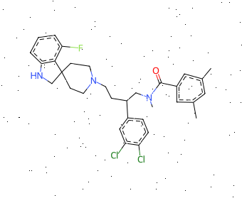 Cc1cc(C)cc(C(=O)N(C)CC(CCN2CCC3(CC2)CNc2cccc(F)c23)c2ccc(Cl)c(Cl)c2)c1